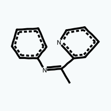 C/C(=N/c1ccccc1)c1ccccn1